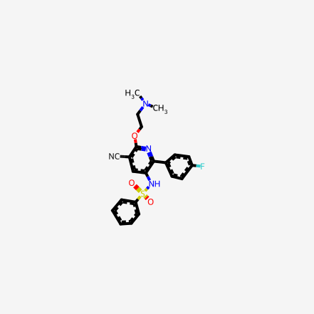 CN(C)CCOc1nc(-c2ccc(F)cc2)c(NS(=O)(=O)c2ccccc2)cc1C#N